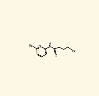 O=C(CCCBr)Nc1cccc(Br)n1